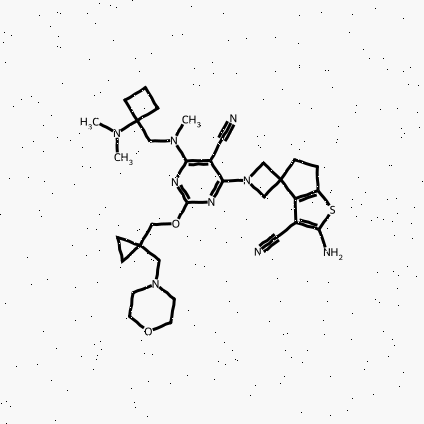 CN(CC1(N(C)C)CCC1)c1nc(OCC2(CN3CCOCC3)CC2)nc(N2CC3(CCc4sc(N)c(C#N)c43)C2)c1C#N